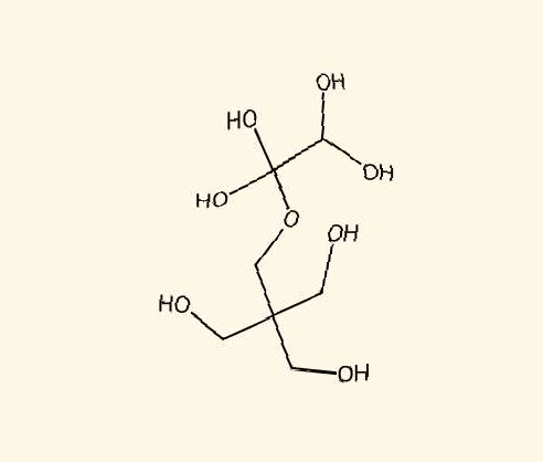 OCC(CO)(CO)COC(O)(O)C(O)O